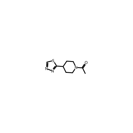 CC(=O)N1CCC(c2nncs2)CC1